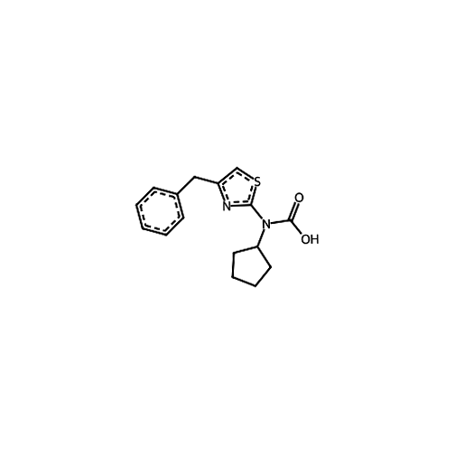 O=C(O)N(c1nc(Cc2ccccc2)cs1)C1CCCC1